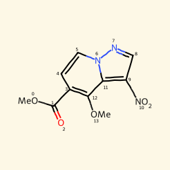 COC(=O)c1ccn2ncc([N+](=O)[O-])c2c1OC